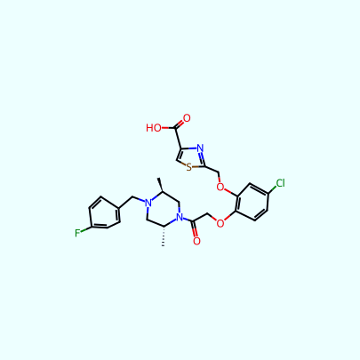 C[C@@H]1CN(Cc2ccc(F)cc2)[C@@H](C)CN1C(=O)COc1ccc(Cl)cc1OCc1nc(C(=O)O)cs1